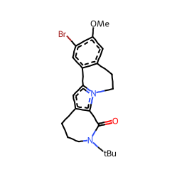 COc1cc2c(cc1Br)-c1cc3c(n1CC2)C(=O)N(C(C)(C)C)CCC3